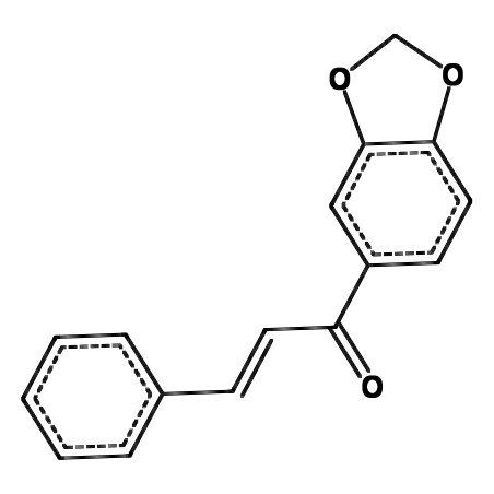 O=C(C=Cc1ccccc1)c1ccc2c(c1)OCO2